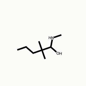 CCCC(C)(C)C(O)NC